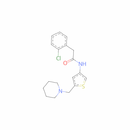 O=C(Cc1ccccc1Cl)Nc1csc(CN2CCCCC2)c1